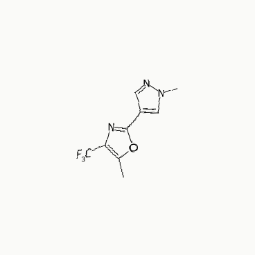 Cc1oc(-c2cnn(C)c2)nc1C(F)(F)F